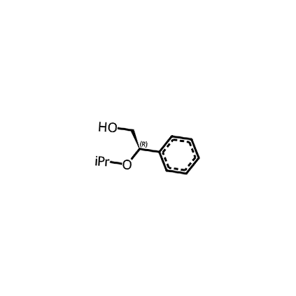 CC(C)O[C@@H](CO)c1ccccc1